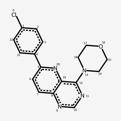 Clc1ccc(-c2ccc3ncnc(N4CCOCC4)c3n2)cc1